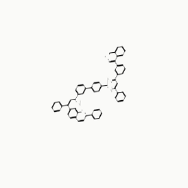 c1ccc(-c2cc(-c3cccc(-c4cncc5ccccc45)c3)nc(-c3ccc(-c4cccc(-c5cc(-c6ccccc6)c6ccc7ccc(-c8ccccc8)nc7c6n5)c4)cc3)n2)cc1